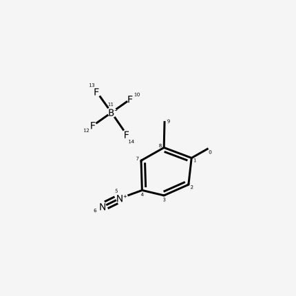 Cc1ccc([N+]#N)cc1C.F[B-](F)(F)F